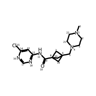 CN1CCN(CC23CC(C(=O)Nc4cc(Cl)ncn4)(C2)C3)CC1